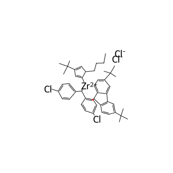 CCCCC1C=C(C(C)(C)C)C=[C]1[Zr+2](=[C](c1ccc(Cl)cc1)c1ccc(Cl)cc1)[c]1cc(C(C)(C)C)cc2c1Cc1ccc(C(C)(C)C)cc1-2.[Cl-].[Cl-]